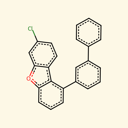 Clc1ccc2c(c1)oc1cccc(-c3cccc(-c4ccccc4)c3)c12